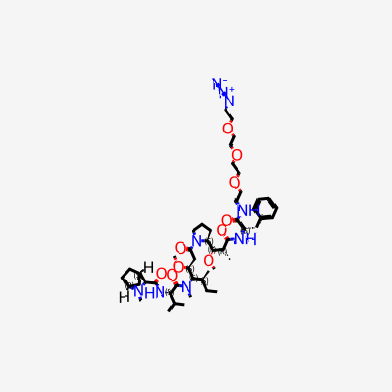 CC[C@H](C)[C@@H]([C@H](CC(=O)N1CCC[C@H]1[C@H](OC)[C@@H](C)C(=O)N[C@@H](Cc1ccccc1)C(=O)NCCOCCOCCOCCN=[N+]=[N-])OC)N(C)C(=O)[C@@H](NC(=O)C1[C@H]2CC[C@H](C2)N1C)C(C)C